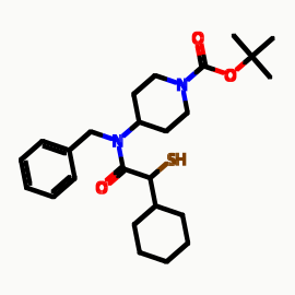 CC(C)(C)OC(=O)N1CCC(N(Cc2ccccc2)C(=O)C(S)C2CCCCC2)CC1